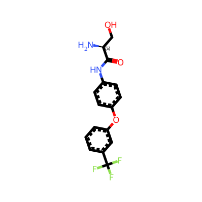 N[C@@H](CO)C(=O)Nc1ccc(Oc2cccc(C(F)(F)F)c2)cc1